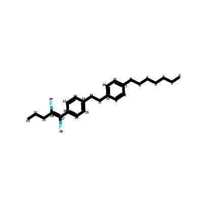 CCCCCCCc1ccc(CCc2ccc(C(F)=C(F)CCC)cc2)cc1